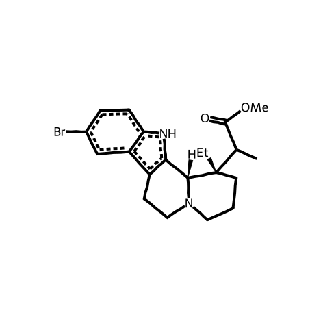 CC[C@@]1(C(C)C(=O)OC)CCCN2CCc3c([nH]c4ccc(Br)cc34)[C@@H]21